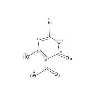 CCCC(=O)c1c(O)cc(CC)oc1=O